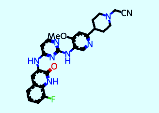 COc1cc(C2CCN(CC#N)CC2)ncc1Nc1nccc(Nc2cc3cccc(F)c3[nH]c2=O)n1